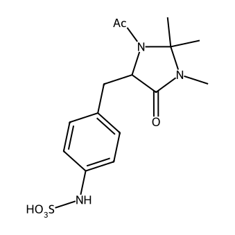 CC(=O)N1C(Cc2ccc(NS(=O)(=O)O)cc2)C(=O)N(C)C1(C)C